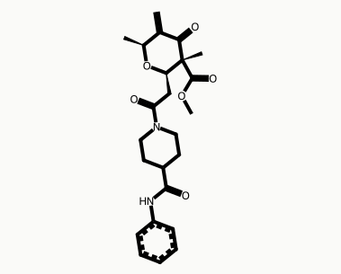 C=C1C(=O)[C@](C)(C(=O)OC)[C@@H](CC(=O)N2CCC(C(=O)Nc3ccccc3)CC2)O[C@H]1C